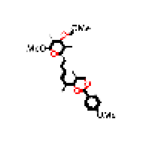 COCO[C@H]1[C@@H](C)[C@H](CCC=C[C@H](C)[C@H]2OC(c3ccc(OC)cc3)OC[C@@H]2C)O[C@@H](OC)[C@@H]1C